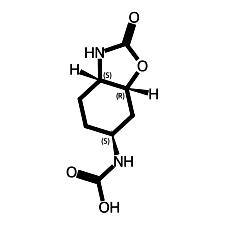 O=C(O)N[C@H]1CC[C@@H]2NC(=O)O[C@@H]2C1